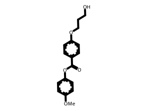 COc1ccc(OC(=O)c2ccc(OCCCO)cc2)cc1